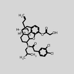 C=CCN1CC[C@]23c4c5ccc(OC(=O)CO)c4OC2C(N(CC(C)C)C(=O)Cc2ccc(Cl)c(Cl)c2)CC[C@H]3[C@H]1C5